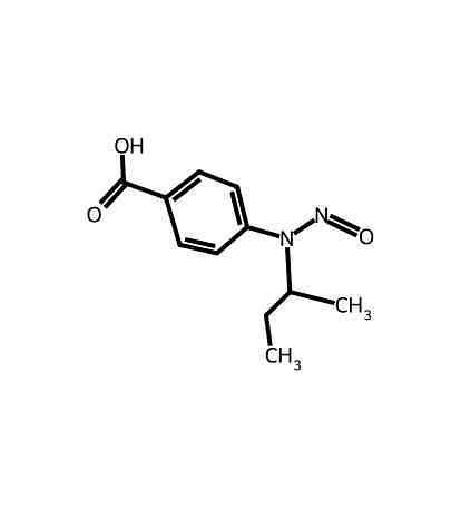 CCC(C)N(N=O)c1ccc(C(=O)O)cc1